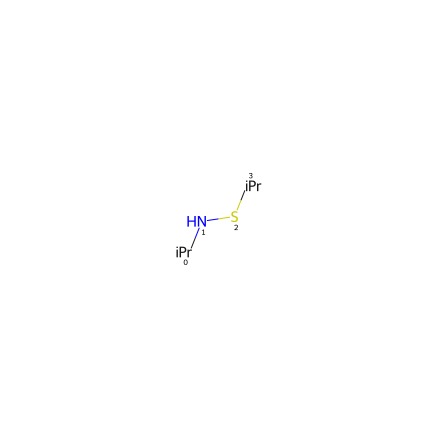 CC(C)NSC(C)C